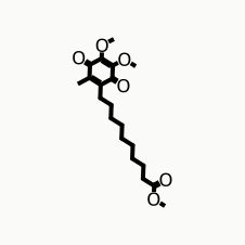 COC(=O)CCCCCCCCCC1=C(C)C(=O)C(OC)=C(OC)C1=O